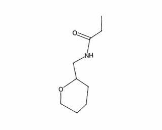 CCC(=O)NCC1CCCCO1